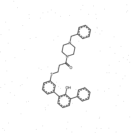 O=C(CCSc1cccc(-c2cccc(-c3ccccc3)c2O)c1)N1CCN(Cc2ccccc2)CC1